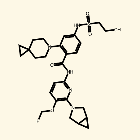 O=C(Nc1ccc(OCF)c(N2CC3CC3C2)n1)c1ccc(NS(=O)(=O)CCO)cc1N1CCC2(CC1)CC2